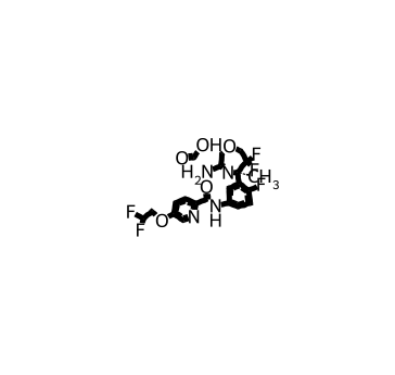 C[C@]1(c2cc(NC(=O)c3ccc(OCC(F)F)cn3)ccc2F)N=C(N)COCC1(F)F.O=CO